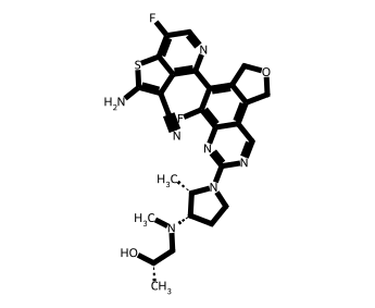 C[C@H](O)CN(C)[C@H]1CCN(c2ncc3c4c(c(-c5ncc(F)c6sc(N)c(C#N)c56)c(F)c3n2)COC4)[C@H]1C